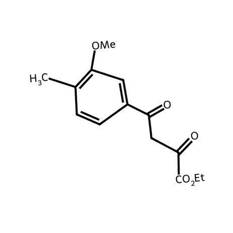 CCOC(=O)C(=O)CC(=O)c1ccc(C)c(OC)c1